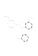 Cc1ccccc1O[C@H]1c2cc(Cl)cc(C#N)c2C[C@@H]1N1CCC[C@@H](N(C)C)C1